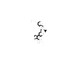 C[C@H](c1ccc(C(F)(F)F)cn1)N(C(=O)c1cc2c3c(c(N)nc2cn1)[C@@H](C)OC3)C1CC1